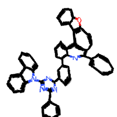 c1ccc(-c2nc(-c3cccc(-c4cccc5c4nc(-c4ccccc4)c4ccc6oc7ccccc7c6c45)c3)nc(-n3c4ccccc4c4ccccc43)n2)cc1